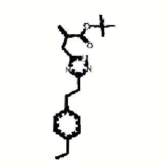 C=C(Cc1nc(CCc2ccc(CC)cc2)no1)C(=O)OC(C)(C)C